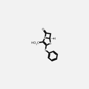 O=C(O)C1=C(Sc2ccccc2)S[C@@H]2CC(=O)N12